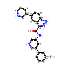 O=C(Nc1cncc(-c2cccc(F)c2)c1)c1n[nH]c2ccc(-c3cccnc3)cc12